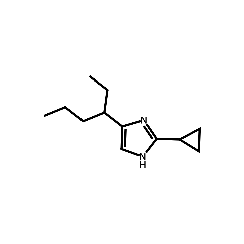 CCCC(CC)c1c[nH]c(C2CC2)n1